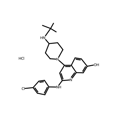 CC(C)(C)NC1CCN(c2cc(Nc3ccc(Cl)cc3)nc3cc(O)ccc23)CC1.Cl